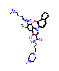 CN(C)CCCCNc1c(F)cc2c(=O)c(C(=O)NCCCN3CCN(C)CC3)cn3c2c1Oc1c-3ccc2ccccc12